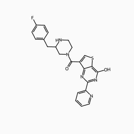 O=C(c1csc2c(O)nc(-c3ccccn3)nc12)N1CCNC(Cc2ccc(F)cc2)C1